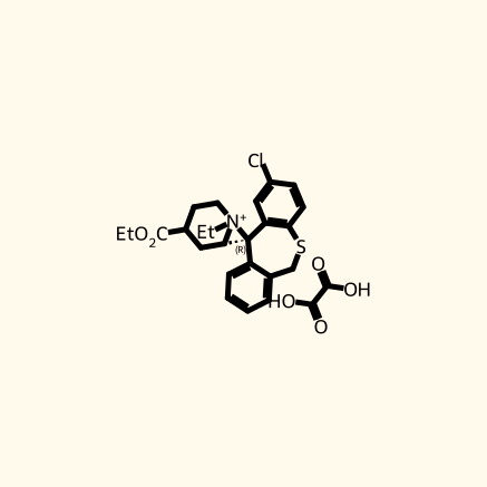 CCOC(=O)C1CC[N+]2(CC)C(C1)[C@]21c2ccccc2CSc2ccc(Cl)cc21.O=C(O)C(=O)O